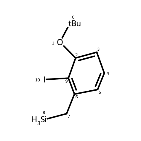 CC(C)(C)Oc1cccc(C[SiH3])c1I